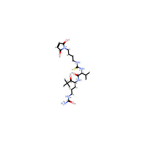 CC(C)[C@H](NC(=S)NCCCCN1C(=O)C=CC1=O)C(=O)N[C@@H](CCCNC(N)=O)C(=O)C(C)(C)C